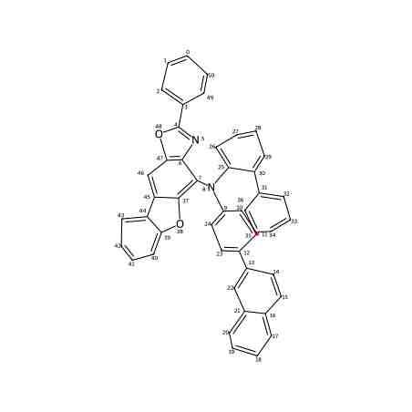 c1ccc(-c2nc3c(N(c4ccc(-c5ccc6ccccc6c5)cc4)c4ccccc4-c4ccccc4)c4oc5ccccc5c4cc3o2)cc1